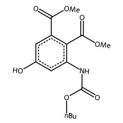 CCCCOC(=O)Nc1cc(O)cc(C(=O)OC)c1C(=O)OC